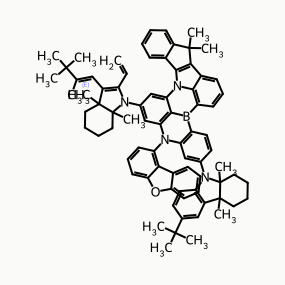 C=CC1=C(/C=C(\C)C(C)(C)C)C2(C)CCCCC2(C)N1c1cc2c3c(c1)-n1c4c(c5cccc(c51)B3c1ccc(N3c5ccc(C(C)(C)C)cc5C5(C)CCCCC35C)cc1N2c1cccc2oc3ccccc3c12)C(C)(C)c1ccccc1-4